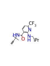 C#CC(C)(C)NC(=O)c1ccc(C(F)(F)F)nc1NCC(C)C